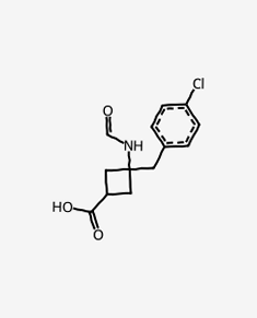 O=CNC1(Cc2ccc(Cl)cc2)CC(C(=O)O)C1